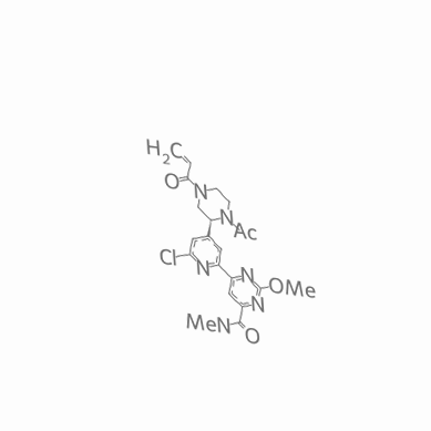 C=CC(=O)N1CCN(C(C)=O)[C@@H](c2cc(Cl)nc(-c3cc(C(=O)NC)nc(OC)n3)c2)C1